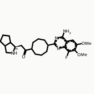 COc1cc2c(N)nc(C3CCCC(C(=O)C[C@H]4NCC5CCCC54)CCC3)nc2c(F)c1OC